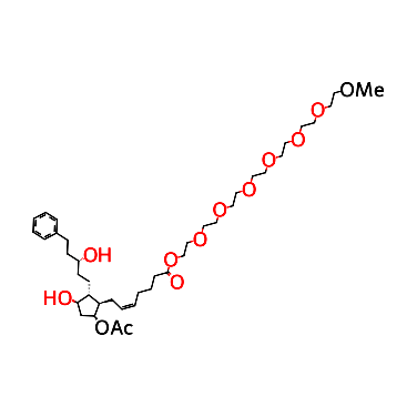 COCCOCCOCCOCCOCCOCCOCCOC(=O)CCC/C=C\C[C@@H]1[C@@H](CC[C@@H](O)CCc2ccccc2)[C@H](O)C[C@@H]1OC(C)=O